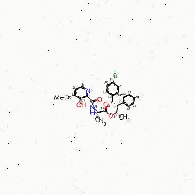 COc1ccnc(C(=O)N[C@@H](C)C(=O)O[C@@H](C)[C@H](Cc2ccc(F)cc2)c2ccccc2)c1O